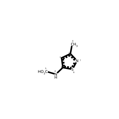 Cc1cc(NC(=O)O)sn1